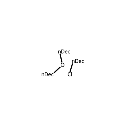 CCCCCCCCCCCl.CCCCCCCCCCOCCCCCCCCCC